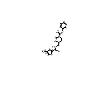 O=C(NCC1CCN(C(=O)Oc2cncnc2)CC1)c1ccc(Cl)s1